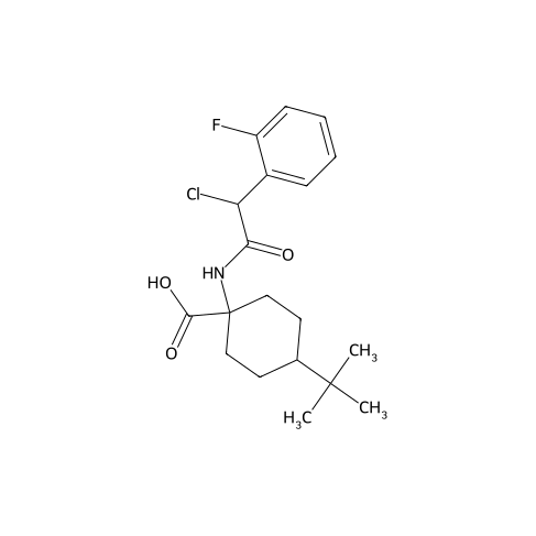 CC(C)(C)C1CCC(NC(=O)C(Cl)c2ccccc2F)(C(=O)O)CC1